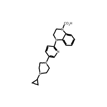 O=C(O)N1CCN(c2ccc(N3CCN(C4CC4)CC3)cn2)c2ccccc21